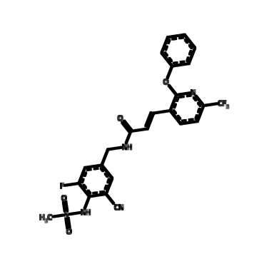 CS(=O)(=O)Nc1c(F)cc(CNC(=O)C=Cc2ccc(C(F)(F)F)nc2Oc2ccccc2)cc1C#N